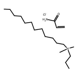 C=CC(N)=O.CCCCCCCCCCCC[N+](C)(C)CCC.[Cl-]